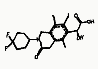 Cc1c(I)c([C@H](O)C(=O)O)c(C)c2c1CN(C1CCC(F)(F)CC1)C(=O)C2